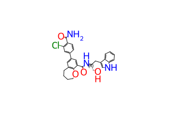 NC(=O)c1ccc(-c2cc3c(c(C(=O)N[C@@H](CO)Cc4c[nH]c5ccccc45)c2)OCCCC3)cc1Cl